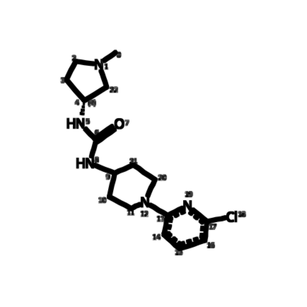 CN1CC[C@@H](NC(=O)NC2CCN(c3cccc(Cl)n3)CC2)C1